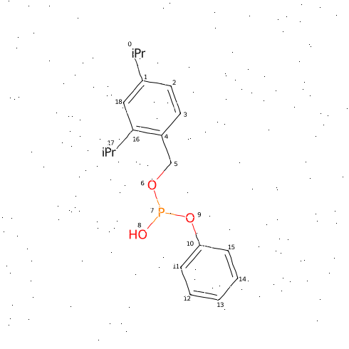 CC(C)c1ccc(COP(O)Oc2ccccc2)c(C(C)C)c1